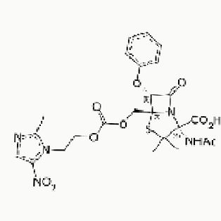 CC(=O)N[C@@]1(C(=O)O)N2C(=O)[C@@H](Oc3ccccc3)[C@@]2(COC(=O)OCCn2c([N+](=O)[O-])cnc2C)SC1(C)C